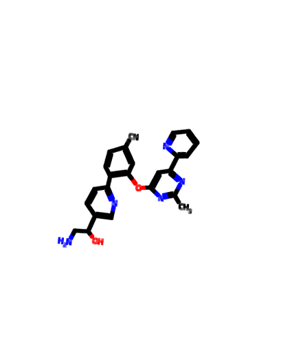 Cc1nc(Oc2cc(C#N)ccc2-c2ccc(C(O)CN)cn2)cc(-c2ccccn2)n1